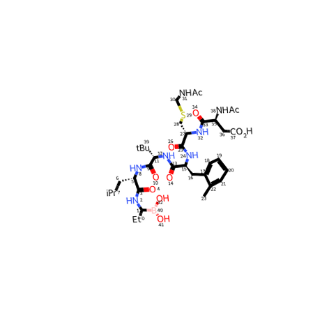 CCC(NC(=O)[C@H](CC(C)C)NC(=O)[C@@H](NC(=O)[C@H](Cc1ccccc1C)NC(=O)[C@H](CSCNC(C)=O)NC(=O)[C@H](CC(=O)O)NC(C)=O)C(C)(C)C)B(O)O